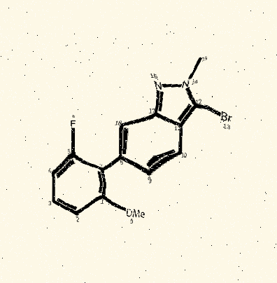 COc1cccc(F)c1-c1ccc2c(Br)n(C)nc2c1